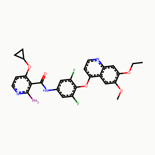 CCOc1cc2nccc(Oc3c(F)cc(NC(=O)c4c(OC5CC5)ccnc4P)cc3F)c2cc1OC